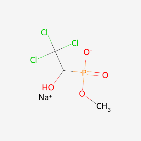 COP(=O)([O-])C(O)C(Cl)(Cl)Cl.[Na+]